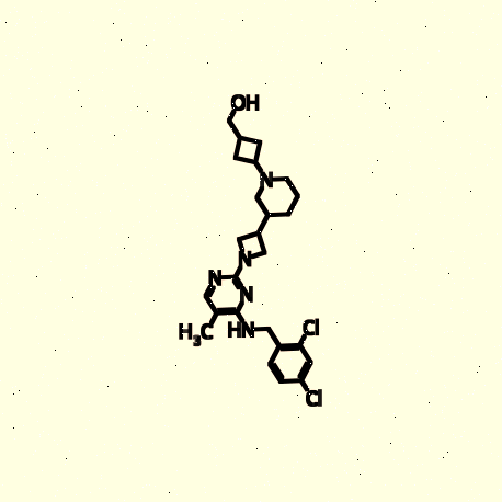 Cc1cnc(N2CC(C3CCCN(C4CC(CO)C4)C3)C2)nc1NCc1ccc(Cl)cc1Cl